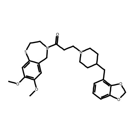 COc1cc2c(cc1OC)SCCN(C(=O)CCN1CCC(Cc3cccc4c3OCO4)CC1)C2